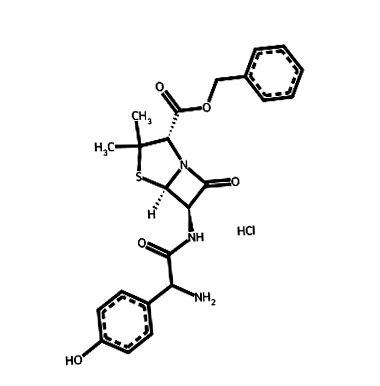 CC1(C)S[C@@H]2[C@H](NC(=O)C(N)c3ccc(O)cc3)C(=O)N2[C@H]1C(=O)OCc1ccccc1.Cl